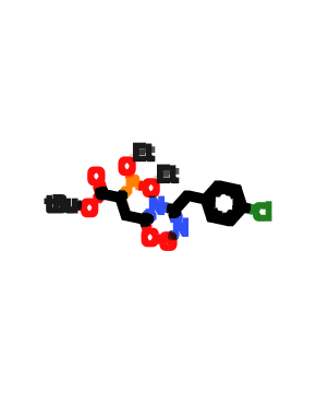 CCOP(OCC)C(CC1=NC(Cc2ccc(Cl)cc2)=NOO1)C(=O)OC(C)(C)C